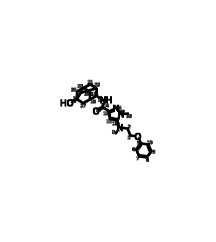 CN(CCOc1ccccc1)c1cc(C(=O)NC2C3CC4CC2CC(O)(C4)C3)nn1C